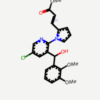 COC(=O)/C=C/c1cccn1-c1ncc(Cl)cc1C(O)c1cccc(OC)c1OC